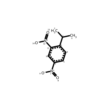 CC(C)c1ccc([N+](=O)[O-])cc1[N+](=O)[O-]